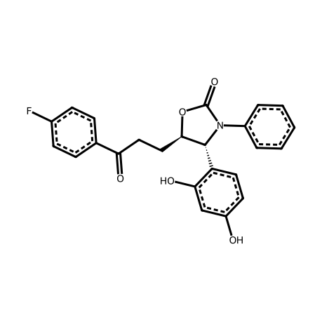 O=C(CC[C@H]1OC(=O)N(c2ccccc2)[C@@H]1c1ccc(O)cc1O)c1ccc(F)cc1